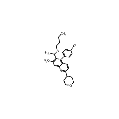 [CH2]C(OCCCC)c1c(C)cc2nc(N3CCOCC3)ccc2c1-c1ccc(Cl)cc1